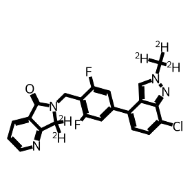 [2H]C1([2H])c2ncccc2C(=O)N1Cc1c(F)cc(-c2ccc(Cl)c3nn(C([2H])([2H])[2H])cc23)cc1F